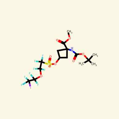 COC(=O)C1(NC(=O)OC(C)(C)C)CC(OS(=O)(=O)C(F)(F)C(F)(F)OC(F)(F)C(F)(F)I)C1